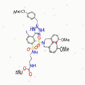 COc1ccc(CN2NN=C(c3c(I)ccc(S(=O)(=O)NCCCNC(=O)OC(C)(C)C)c3S(=O)(=O)N(Cc3ccc(OC)cc3)Cc3ccc(OC)cc3)N2)cc1